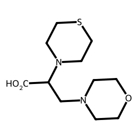 O=C(O)C(CN1CCOCC1)N1CCSCC1